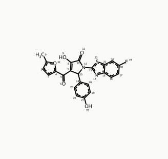 Cc1ccc(C(=O)C2=C(O)C(=O)N(c3nc4ccc(F)cc4s3)C2c2ccc(O)cc2)o1